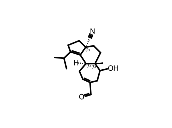 CC(C)C1=C2[C@@H]3CC=C(C=O)CC(O)[C@@]3(C)CC[C@]2(C#N)CC1